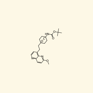 COc1ccc2nccc(CCC34CCC(NC(=O)OC(C)(C)C)(CC3)CO4)c2n1